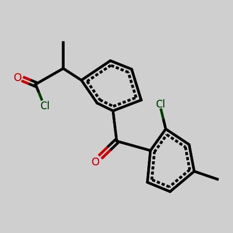 Cc1ccc(C(=O)c2cccc(C(C)C(=O)Cl)c2)c(Cl)c1